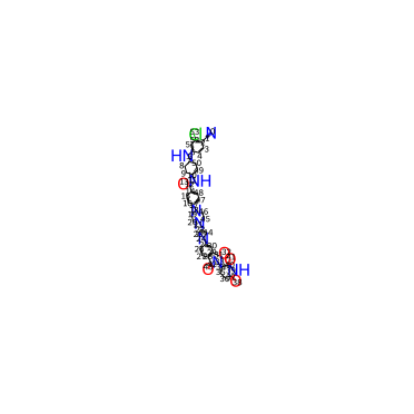 N#Cc1ccc(N[C@H]2CC[C@H](NC(=O)c3ccc(N4CCN(C5CN(c6ccc7c(c6)C(=O)N(C6CCC(=O)NC6=O)C7=O)C5)CC4)cc3)CC2)cc1Cl